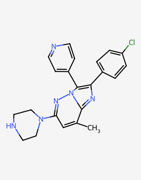 Cc1cc(N2CCNCC2)nn2c(-c3ccncc3)c(-c3ccc(Cl)cc3)nc12